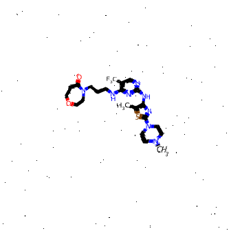 Cc1sc(N2CCN(C)CC2)nc1Nc1ncc(C(F)(F)F)c(NCCCN2CCOCCC2=O)n1